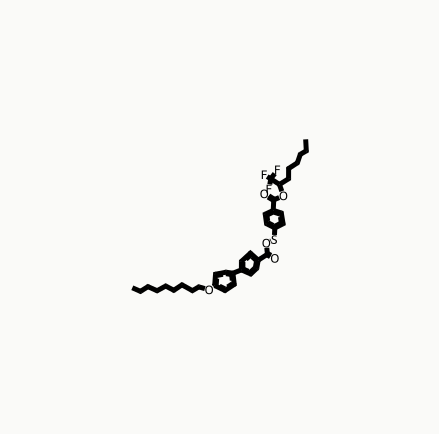 CCCCCCCCCOc1ccc(-c2ccc(C(=O)OSc3ccc(C(=O)OC(CCCCCC)C(F)(F)F)cc3)cc2)cc1